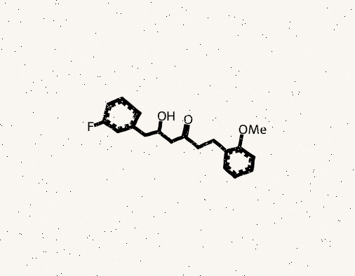 COc1ccccc1CCC(=O)CC(O)Cc1cccc(F)c1